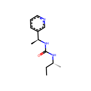 CC[C@@H](C)NC(=O)N[C@@H](C)c1cccnc1